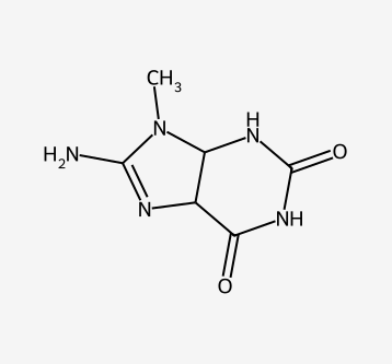 CN1C(N)=NC2C(=O)NC(=O)NC21